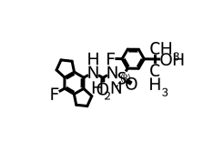 CC(C)(O)c1ccc(F)c([S@](N)(=O)=NC(=O)Nc2c3c(c(F)c4c2CCC4)CCC3)c1